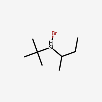 CCC(C)[SiH](Br)C(C)(C)C